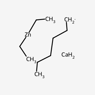 C[CH2][Zn][CH2]C.[CH2]CCCCC.[CaH2]